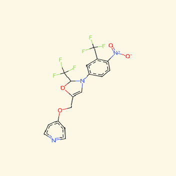 O=[N+]([O-])c1ccc(N2C=C(COc3ccncc3)OC2C(F)(F)F)cc1C(F)(F)F